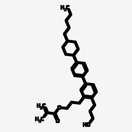 C=C(C)C(=O)OCCCc1cc(-c2ccc(C3CCC(CCCCC)CC3)cc2)ccc1CCCO